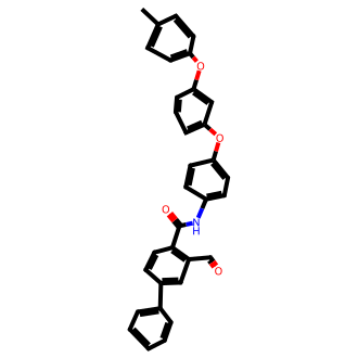 Cc1ccc(Oc2cccc(Oc3ccc(NC(=O)c4ccc(-c5ccccc5)cc4C=O)cc3)c2)cc1